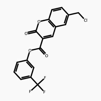 O=C(Oc1cccc(C(F)(F)F)c1)c1cc2cc(CCl)ccc2oc1=O